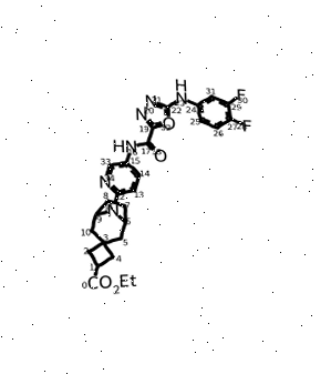 CCOC(=O)C1CC2(C1)CC1CCC(C2)N1c1ccc(NC(=O)c2nnc(Nc3ccc(F)c(F)c3)o2)cn1